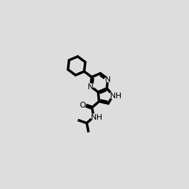 CC(C)NC(=O)c1c[nH]c2ncc(C3CCCCC3)nc12